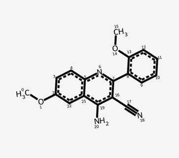 COc1ccc2nc(-c3ccccc3OC)c(C#N)c(N)c2c1